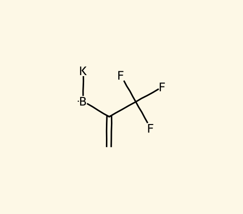 C=C([B][K])C(F)(F)F